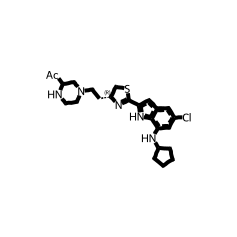 CC(=O)C1CN(CC[C@@H]2CSC(c3cc4cc(Cl)cc(NC5CCCC5)c4[nH]3)=N2)CCN1